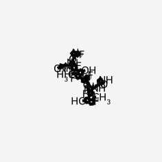 CCc1c(F)ccc2cc(O)cc(-c3ncc4c(NCCN5CCNC5=O)nc(OC[C@@]56CCC(c7cc(F)c(CC)c8c(-c9ncc%10c(NCC%11CC(=O)N%11)nc(OC[C@@]%11%12CCCN%11C[C@H](F)C%12)nc%10c9F)cc(O)cc78)N5C[C@H](F)C6)nc4c3F)c12